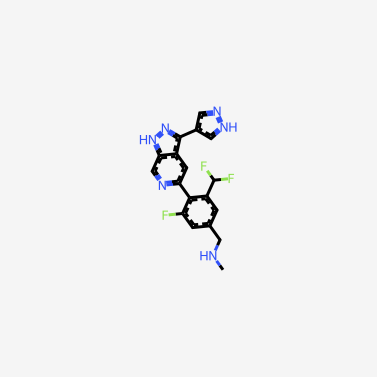 CNCc1cc(F)c(-c2cc3c(-c4cn[nH]c4)n[nH]c3cn2)c(C(F)F)c1